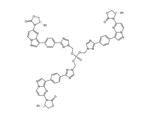 CC(C)[C@H]1COC(=O)N1c1ccn2ncc(-c3ccc(-c4ncn(COP(=O)(OCn5cnc(-c6ccc(-c7cnn8ccc(N9C(=O)OC[C@@H]9C(C)C)nc78)cc6)n5)OCn5cnc(-c6ccc(-c7cnn8ccc(N9C(=O)OC[C@@H]9C(C)C)nc78)cc6)n5)n4)cc3)c2n1